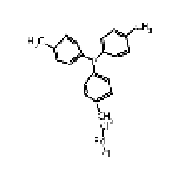 Cc1ccc(P(c2ccc(C)cc2)c2ccc(C)cc2)cc1.[Cl][Pd][Cl]